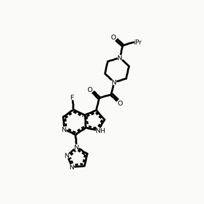 CC(C)C(=O)N1CCN(C(=O)C(=O)c2c[nH]c3c(-n4ccnn4)ncc(F)c23)CC1